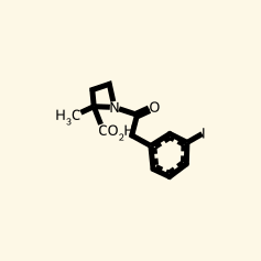 CC1(C(=O)O)CCN1C(=O)Cc1cccc(I)c1